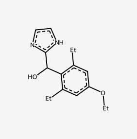 CCOc1cc(CC)c(C(O)c2ncc[nH]2)c(CC)c1